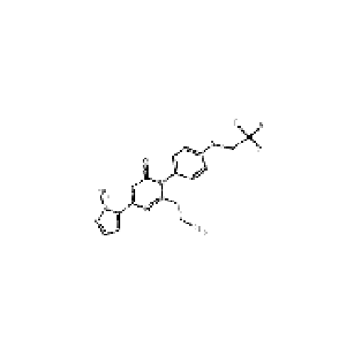 CCSc1nc(-c2ccnn2C)cc(=O)n1-c1ccc(OCC(F)(F)F)cc1